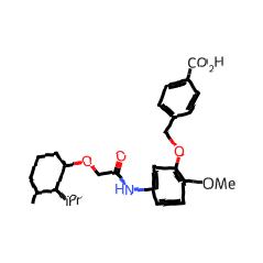 COc1ccc(NC(=O)COC2CCCC(C)C2C(C)C)cc1OCc1ccc(C(=O)O)cc1